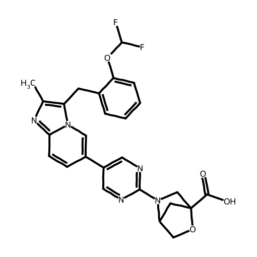 Cc1nc2ccc(-c3cnc(N4CC5(C(=O)O)CC4CO5)nc3)cn2c1Cc1ccccc1OC(F)F